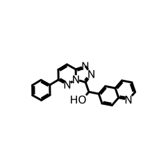 OC(c1ccc2ncccc2c1)c1nnc2ccc(-c3ccccc3)nn12